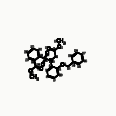 COC(=O)CN(c1ccccc1OCc1ccccc1)S(=O)(=O)c1ccccc1C(=O)OC